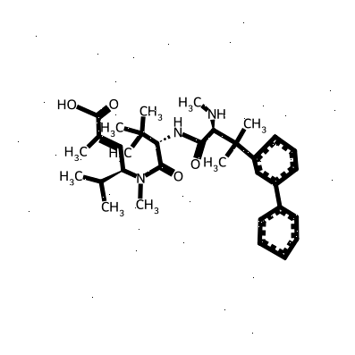 CN[C@H](C(=O)N[C@H](C(=O)N(C)[C@H](/C=C(\C)C(=O)O)C(C)C)C(C)(C)C)C(C)(C)c1cccc(-c2ccccc2)c1